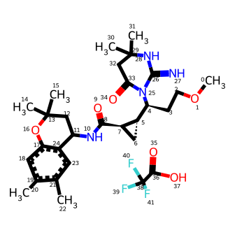 COCC[C@@H]([C@@H]1C[C@H]1C(=O)NC1CC(C)(C)Oc2cc(C)c(C)cc21)N1C(=N)NC(C)(C)CC1=O.O=C(O)C(F)(F)F